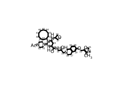 CC(=O)N1CCN(C2NC(C(=O)NC[C@H](O)CN3CCc4cc(OCc5ocnc5C)ccc4C3)CC(NC3COC3)N2C2CCCCCCCCC2)CC1